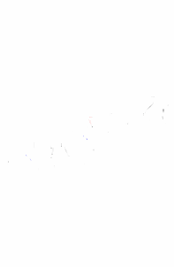 CN(C)Cc1cc2c(o1)CCN(C(=O)CCCCc1cccs1)C2